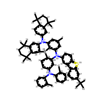 Cc1cc2c3c(c1)N(c1ccc4c(c1)C(C)(C)CCC4(C)C)c1cc4c(cc1B3c1ccc(N(c3ccccc3C)c3ccccc3C)cc1N2c1ccc2sc3cc(C(C)(C)C)ccc3c2c1)C(C)(C)CCC4(C)C